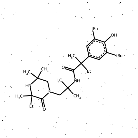 CCC1(C)NC(C)(C)CN(CC(C)(C)NC(=O)C(C)(CC)c2cc(C(C)(C)C)c(O)c(C(C)(C)C)c2)C1=O